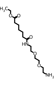 CCOC(=O)CCCCCC(=O)NCCOCCOCCN